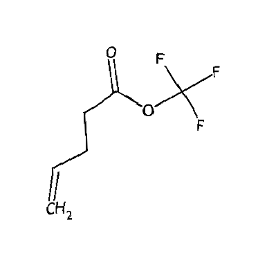 C=CCCC(=O)OC(F)(F)F